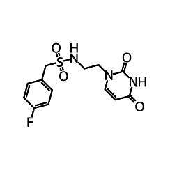 O=c1ccn(CCNS(=O)(=O)Cc2ccc(F)cc2)c(=O)[nH]1